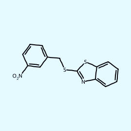 O=[N+]([O-])c1cccc(CSc2nc3ccccc3s2)c1